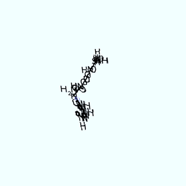 CN(C/C=C/C(=O)Nc1cccc(Nc2cc(Nc3ccccc3)ncn2)n1)CCCCC(CCC(=O)NCCCOCCOCCOCCCNC(=O)CCCC[C@@H]1SC[C@@H]2NC(=O)N[C@@H]21)C(N)=O